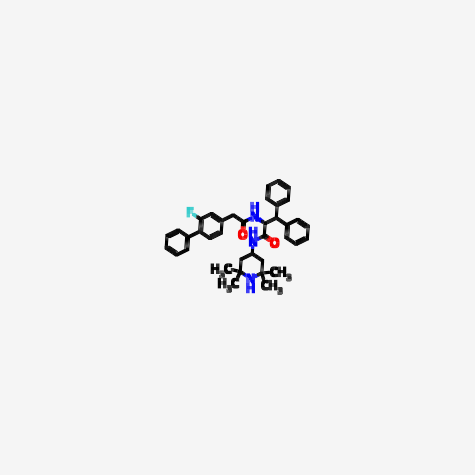 CC1(C)CC(NC(=O)[C@@H](NC(=O)Cc2ccc(-c3ccccc3)c(F)c2)C(c2ccccc2)c2ccccc2)CC(C)(C)N1